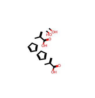 C1=CCC=C1.C1=CCC=C1.C=C(C)C(=O)O.C=C(C)C(=O)O.CO.CO